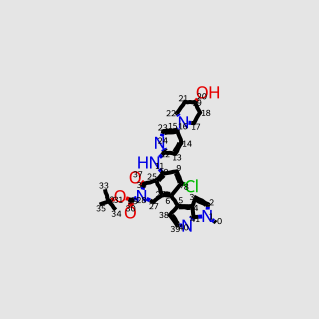 Cn1ccc2c(-c3c(Cl)cc(Nc4ccc(N5CCC(O)CC5)cn4)c4c3CN(C(=O)OC(C)(C)C)C4=O)ccnc21